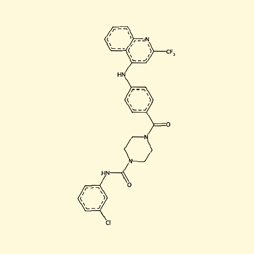 O=C(Nc1cccc(Cl)c1)N1CCN(C(=O)c2ccc(Nc3cc(C(F)(F)F)nc4ccccc34)cc2)CC1